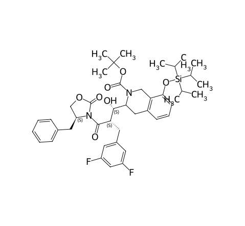 CC(C)[Si](Oc1cccc2c1CN(C(=O)OC(C)(C)C)C([C@@H](O)[C@H](Cc1cc(F)cc(F)c1)C(=O)N1C(=O)OC[C@@H]1Cc1ccccc1)C2)(C(C)C)C(C)C